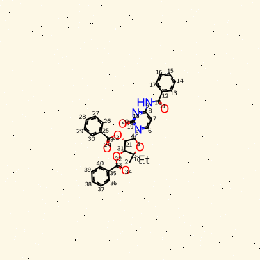 CC[C@@]1(C)O[C@@H](n2ccc(NC(=O)c3ccccc3)nc2=O)[C@@H](OC(=O)c2ccccc2)C1OC(=O)c1ccccc1